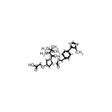 Cc1ncsc1-c1ccc(CNC(=O)[C@@H]2C[C@@H](OCC(=O)O)CN2C(=O)[C@@H](N)C(C)(C)C)cc1